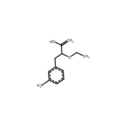 C=C(O)C(Cc1cccc(N)c1)OCC